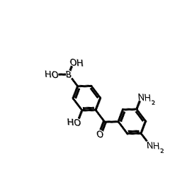 Nc1cc(N)cc(C(=O)c2ccc(B(O)O)cc2O)c1